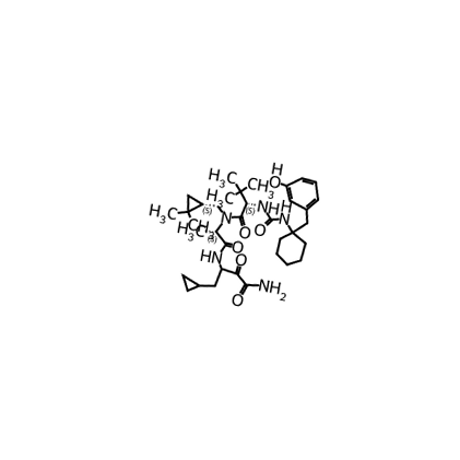 C[C@@H](C(=O)NC(CC1CC1)C(=O)C(N)=O)N(C[C@H]1CC1(C)C)C(=O)[C@@H](NC(=O)NC1(Cc2cccc(O)c2)CCCCC1)C(C)(C)C